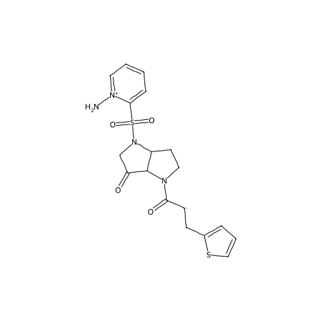 N[n+]1ccccc1S(=O)(=O)N1CC(=O)C2C1CCN2C(=O)[CH]Cc1cccs1